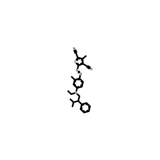 CCN(CC(c1ccccc1)C(C)C)c1ccc(/N=N/c2sc(C#N)c(C)c2C#N)c(C)c1